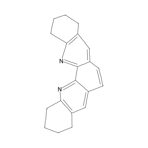 c1cc2cc3c(nc2c2nc4c(cc12)CCCC4)CCCC3